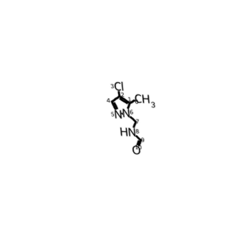 Cc1c(Cl)cnn1CNC=O